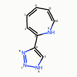 C1=CC=C(c2c[nH]nn2)NC=C1